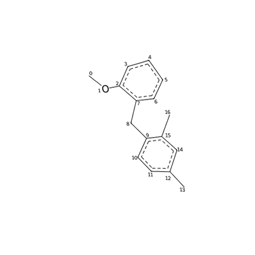 COc1ccccc1Cc1ccc(C)cc1C